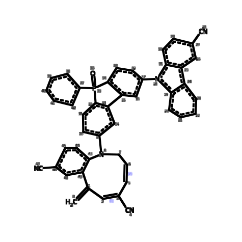 C=C1/C=C(C#N)\C=C/CN(c2ccc3c(c2)-c2cc(-n4c5ccccc5c5cc(C#N)ccc54)ccc2P3(=O)c2ccccc2)c2ccc(C#N)cc21